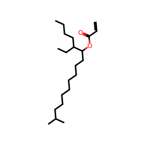 C=CC(=O)OC(CCCCCCCCC(C)C)C(CC)CCCC